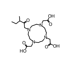 CCC(C)C(=O)CN1CCN(CC(=O)O)CCN(CC(=O)O)CCN(CC(=O)O)CC1